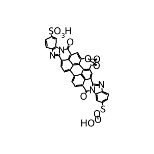 O=c1c2cc3c4c5c(cc6c7c(ccc(c8ccc(c2c84)c2nc4ccc(S(=O)(=O)O)cc4n12)c57)c(=O)n1c2cc(SOOO)ccc2nc61)S(=O)(=O)O3